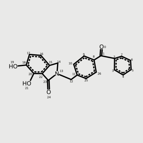 O=C(c1ccccc1)c1ccc(CN2Cc3ccc(O)c(O)c3C2=O)cc1